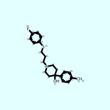 Cc1ccc(C2(O)CCN(CCCSc3ccc(F)cc3)CC2)cc1